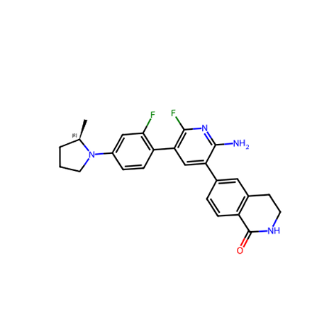 C[C@@H]1CCCN1c1ccc(-c2cc(-c3ccc4c(c3)CCNC4=O)c(N)nc2F)c(F)c1